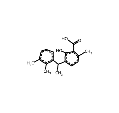 Cc1cccc(C(C)c2ccc(C)c(C(=O)O)c2O)c1C